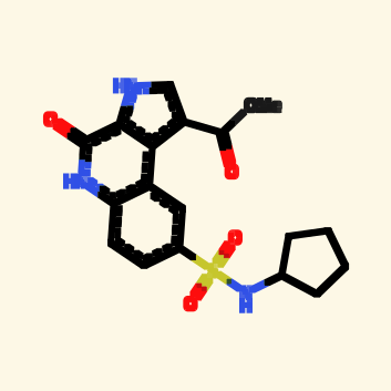 COC(=O)c1c[nH]c2c(=O)[nH]c3ccc(S(=O)(=O)NC4CCCC4)cc3c12